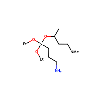 CCO[Si](CCCN)(OCC)OC(C)CCNC